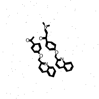 CC(=O)c1ccc(OCc2ccc3ccccc3n2)cc1.CN(C)C=CC(=O)c1ccc(OCc2ccc3ccccc3n2)cc1